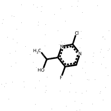 CC(O)c1nc(Cl)ncc1F